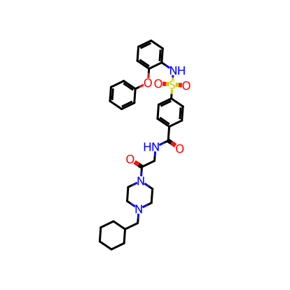 O=C(NCC(=O)N1CCN(CC2CCCCC2)CC1)c1ccc(S(=O)(=O)Nc2ccccc2Oc2ccccc2)cc1